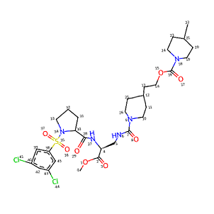 COC(=O)[C@H](CNC(=O)N1CCC(CCOC(=O)N2CCC(C)CC2)CC1)NC(=O)C1CCCN1S(=O)(=O)c1cc(Cl)cc(Cl)c1